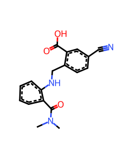 CN(C)C(=O)c1ccccc1NCc1ccc(C#N)cc1C(=O)O